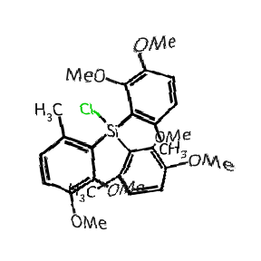 COc1ccc(C)c([Si](Cl)(c2c(C)ccc(OC)c2OC)c2c(C)ccc(OC)c2OC)c1OC